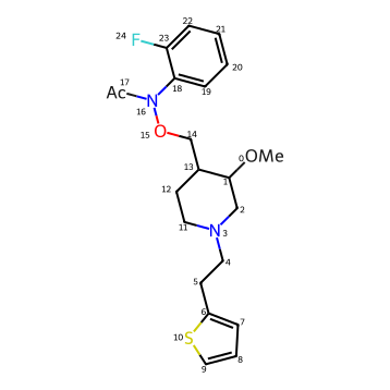 COC1CN(CCc2cccs2)CCC1CON(C(C)=O)c1ccccc1F